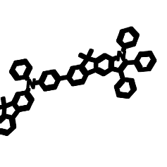 CC1(C)c2ccccc2-c2ccc(N(c3ccccc3)c3ccc(-c4ccc5c(c4)C(C)(C)c4cc6c(cc4-5)c(-c4ccccc4)c(-c4ccccc4)n6-c4ccccc4)cc3)cc21